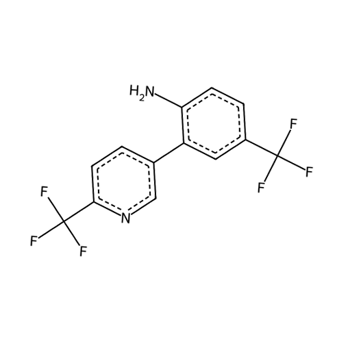 Nc1ccc(C(F)(F)F)cc1-c1ccc(C(F)(F)F)nc1